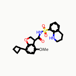 COc1ccc(C2CCC2)c2c1C(C(=O)NS(=O)(=O)c1cccc3c1NCCC3)CO2